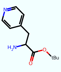 CC(C)(C)OC(=O)C(N)Cc1ccncc1